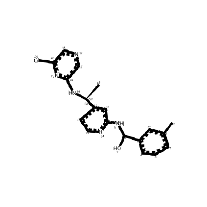 Cc1cccc(C(O)Nc2cc([C@H](C)Nc3cncc(Cl)n3)ccn2)c1